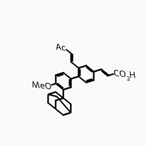 COc1ccc(-c2ccc(C=CC(=O)O)cc2C=CC(C)=O)cc1C12CC3CC(CC(C3)C1)C2